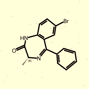 C[C@H]1N=C(c2ccccc2)c2cc(Br)ccc2NC1=O